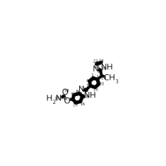 CC(c1ccc(-c2nc3cc(OC(N)=O)ccc3[nH]2)cc1)c1ncc[nH]1